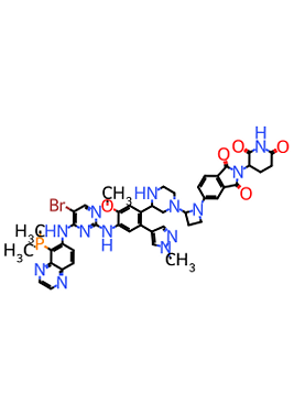 COc1cc(C2CN(C3CCN3c3ccc4c(c3)C(=O)N(C3CCC(=O)NC3=O)C4=O)CCN2)c(-c2cnn(C)c2)cc1Nc1ncc(Br)c(Nc2ccc3nccnc3c2P(C)C)n1